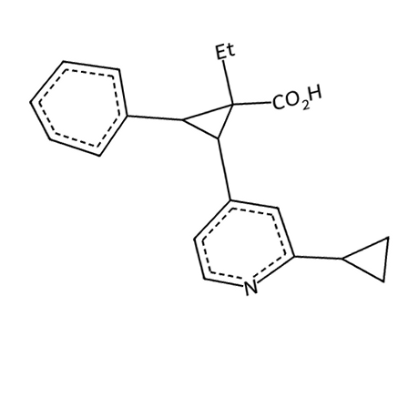 CCC1(C(=O)O)C(c2ccccc2)C1c1ccnc(C2CC2)c1